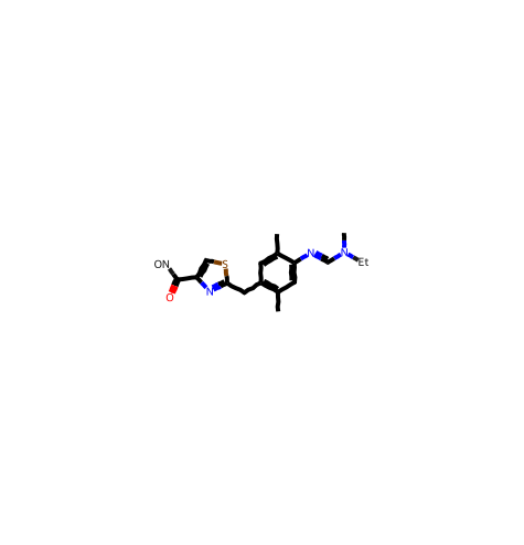 CCN(C)/C=N/c1cc(C)c(Cc2nc(C(=O)N=O)cs2)cc1C